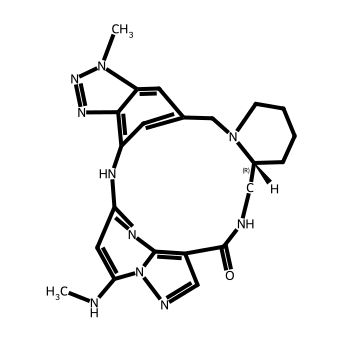 CNc1cc2nc3c(cnn13)C(=O)NC[C@H]1CCCCN1Cc1cc(c3nnn(C)c3c1)N2